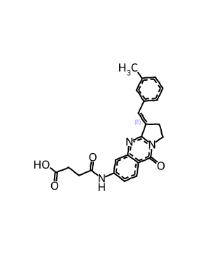 Cc1cccc(/C=C2\CCn3c2nc2cc(NC(=O)CCC(=O)O)ccc2c3=O)c1